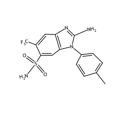 Cc1ccc(-n2c(N)nc3cc(C(F)(F)F)c(S(N)(=O)=O)cc32)cc1